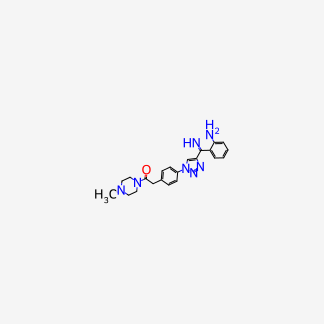 CN1CCN(C(=O)Cc2ccc(-n3cc(C(=N)c4ccccc4N)nn3)cc2)CC1